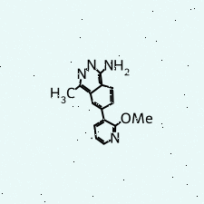 COc1nc[c]cc1-c1ccc2c(N)nnc(C)c2c1